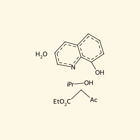 CC(C)O.CCOC(=O)CC(C)=O.O.Oc1cccc2cccnc12